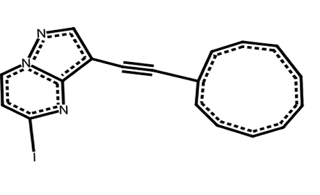 Ic1ccn2ncc(C#Cc3ccccccccc3)c2n1